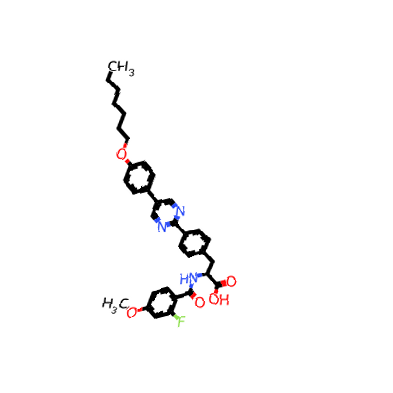 CCCCCCCOc1ccc(-c2cnc(-c3ccc(CC(NC(=O)c4ccc(OC)cc4F)C(=O)O)cc3)nc2)cc1